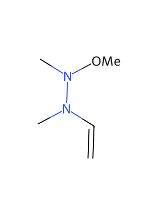 C=CN(C)N(C)OC